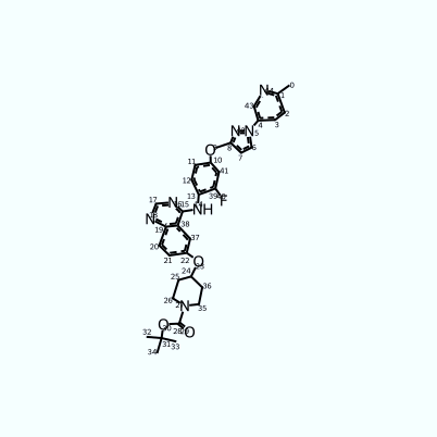 Cc1ccc(-n2ccc(Oc3ccc(Nc4ncnc5ccc(OC6CCN(C(=O)OC(C)(C)C)CC6)cc45)c(F)c3)n2)cn1